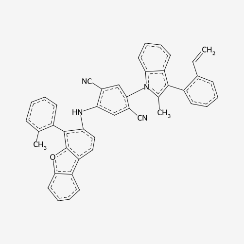 C=Cc1ccccc1-c1c(C)n(-c2cc(C#N)c(Nc3ccc4c(oc5ccccc54)c3-c3ccccc3C)cc2C#N)c2ccccc12